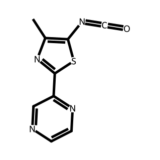 Cc1nc(-c2cnccn2)sc1N=C=O